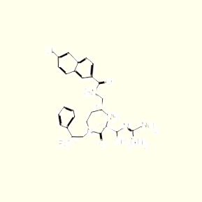 CC[C@H](CN1CC[C@@H](CNC(=O)c2ccc3cc(Cl)ccc3c2)N[C@@H](C(C)N=C(N)N)C1=O)c1ccccc1